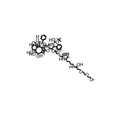 COCCOCCOCC[C@@H](O)NCCCCC(N[C@@H](O)CSC[C@@H](O)O[C@@H]([C@@H](O)O[C@H]1C[C@@]2(O)[C@@H](OC(=O)c3ccccc3)[C@@H]3[C@]4(O[C@@H](C)O)CO[C@@H]4C[C@H](O)[C@@]3(C)[C@H](O)[C@H](O)C([C@@H]1C)C2(C)C)[C@@H](N[C@H](O)OC(C)(C)C)c1ccccc1)[C@@H](C)O